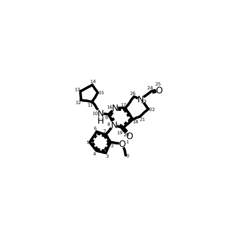 COc1ccccc1-n1c(NC2CCCC2)nc2c(c1=O)CCN(C=O)C2